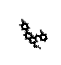 Nc1nc(Cc2ccccc2F)c2nc(-c3ccc(F)cc3)ccc2n1